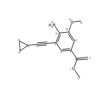 COC(=O)c1cc(C#CC2CC2)c(N)c(OC)c1